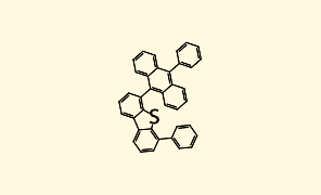 c1ccc(-c2c3ccccc3c(-c3cccc4c3sc3c(-c5ccccc5)cccc34)c3ccccc23)cc1